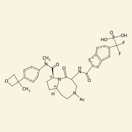 CC(=O)N1CC[C@H]2CC[C@@H](C(=O)N(C)c3ccc(C4(C)COC4)cc3)N2C(=O)C(NC(=O)c2cc3cc(C(F)(F)P(=O)(O)O)ccc3s2)C1